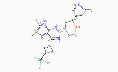 Cc1cc([C@H]2C[C@@H](c3nc4nc(C)c(C)nc4c([C@H]4C[C@H](C(F)(F)F)C4)n3)CCO2)ccn1